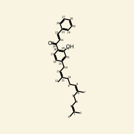 CC(C)=CCCC(C)=CCCC(C)=CCc1ccc(C(=O)/C=C/c2ccccc2)c(O)c1